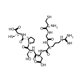 N=C(N)NCCC[C@H](NC(=O)CNC(=O)[C@@H](N)CS)C(=O)N[C@@H](CC(=O)O)C(=O)N[C@@H](CO)C(=O)N1CCC[C@H]1C(=O)N[C@H](CS)C(=O)O